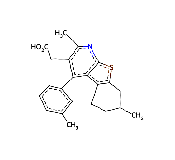 Cc1cccc(-c2c(CC(=O)O)c(C)nc3sc4c(c23)CCC(C)C4)c1